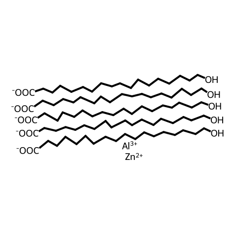 O=C([O-])CCCCCCCCCCCCCCCCCO.O=C([O-])CCCCCCCCCCCCCCCCCO.O=C([O-])CCCCCCCCCCCCCCCCCO.O=C([O-])CCCCCCCCCCCCCCCCCO.O=C([O-])CCCCCCCCCCCCCCCCCO.[Al+3].[Zn+2]